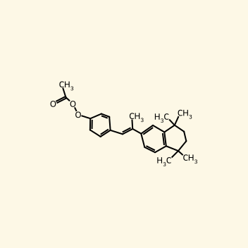 CC(=O)OOc1ccc(C=C(C)c2ccc3c(c2)C(C)(C)CCC3(C)C)cc1